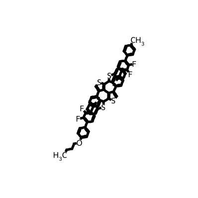 CCCCOc1ccc(-c2ccc(-c3ccc(-c4csc(C5Sc6ccccc6S5)c4-c4c(-c5ccc(-c6ccc(-c7ccc(C)cc7)c(F)c6F)cc5)csc4C4Sc5ccccc5S4)cc3)c(F)c2F)cc1